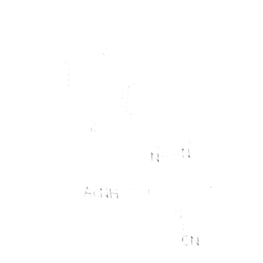 CC(=O)Nc1c(C#N)cnn1-c1ccccc1